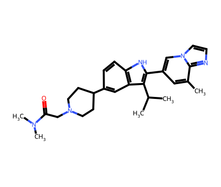 Cc1cc(-c2[nH]c3ccc(C4CCN(CC(=O)N(C)C)CC4)cc3c2C(C)C)cn2ccnc12